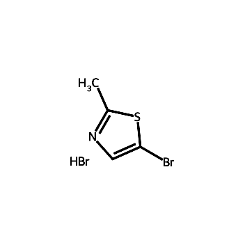 Br.Cc1ncc(Br)s1